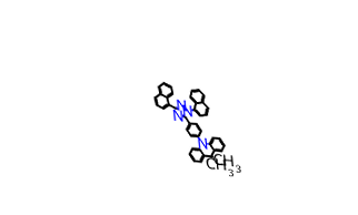 CC1(C)c2ccccc2N(c2ccc(-c3nc(-c4cccc5ccccc45)nn3-c3cccc4ccccc34)cc2)c2ccccc21